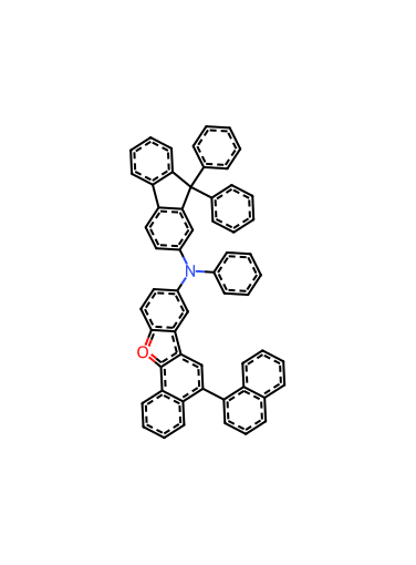 c1ccc(N(c2ccc3c(c2)C(c2ccccc2)(c2ccccc2)c2ccccc2-3)c2ccc3oc4c5ccccc5c(-c5cccc6ccccc56)cc4c3c2)cc1